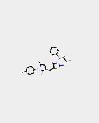 CCOC(=O)C1=C(C)N=c2s/c(=C/c3cc(C)n(-c4ccc(C)cc4)c3C)c(=O)n2C1c1ccccc1